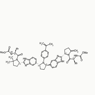 C=C(C)c1ccc(N2[C@@H](c3ccc4[nH]c([C@@H]5CCC(=C)N5C(=O)[C@@H](NC(=O)OC)C(C)C)nc4c3)CC[C@@H]2c2ccc3[nH]c([C@@H]4CCC(C)(C)N4C(=O)[C@@H](NC(=O)OC)C(C)C)nc3c2)cc1